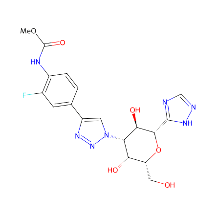 COC(=O)Nc1ccc(-c2cn([C@H]3[C@@H](O)[C@@H](CO)O[C@@H](c4ncn[nH]4)[C@@H]3O)nn2)cc1F